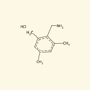 Cc1cc(C)c(CN)c(C)c1.Cl